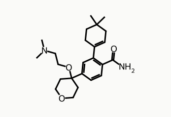 CN(C)CCOC1(c2ccc(C(N)=O)c(C3=CCC(C)(C)CC3)c2)CCOCC1